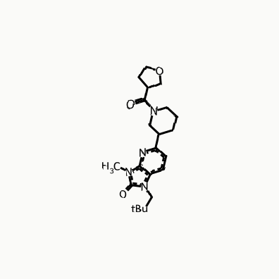 Cn1c(=O)n(CC(C)(C)C)c2ccc(C3CCCN(C(=O)C4CCOC4)C3)nc21